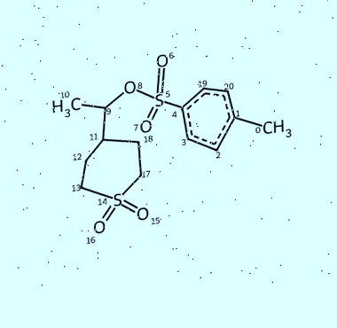 Cc1ccc(S(=O)(=O)OC(C)C2CCS(=O)(=O)CC2)cc1